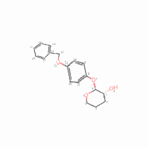 O[C@@H]1CCCO[C@H]1Oc1ccc(OCc2ccccc2)cc1